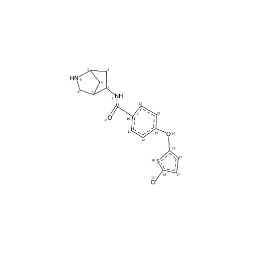 O=C(NC1CC2CC1CN2)c1ccc(Oc2ccc(Cl)s2)cc1